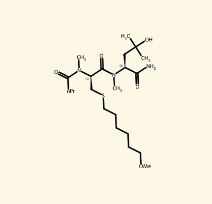 CCCC(=O)N(C)[C@H](CSCCCCCCOC)C(=O)N(C)[C@@H](CC(C)(C)O)C(N)=O